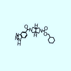 O=C(OCC1CCCCC1)N1C[C@@H]2CN(C(=O)c3ccc4[nH]nnc4c3)C[C@@H]2C1